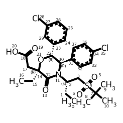 CC[C@@H](CS(=O)(=O)C(C)(C)C)N1C(=O)[C@@](CC)(CC(=O)O)O[C@H](c2cccc(Cl)c2)[C@H]1c1ccc(Cl)cc1